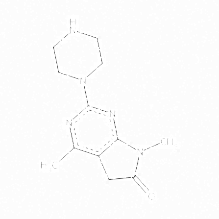 Cc1nc(N2CCNCC2)nc2c1CC(=O)N2C